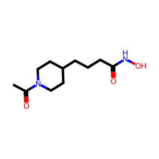 CC(=O)N1CCC(CCCC(=O)NO)CC1